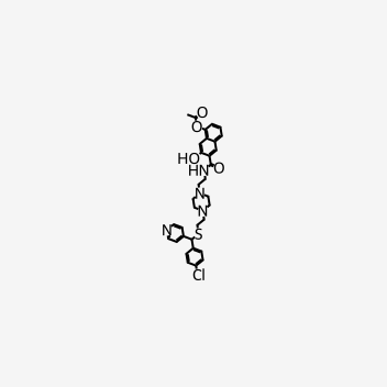 CC(=O)Oc1cccc2cc(C(=O)NCCN3CCN(CCSC(c4ccncc4)c4ccc(Cl)cc4)CC3)c(O)cc12